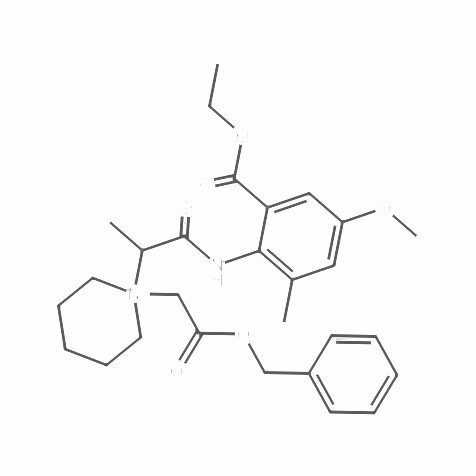 CCOC(=O)c1cc(OC)cc(C)c1NC(=O)C(C)[N+]1(CC(=O)OCc2ccccc2)CCCCC1